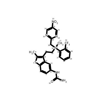 Cc1sc2ccc(NC(N)=O)cc2c1CC[N+](C)(Cc1ncc([N+](=O)[O-])cn1)c1ccccc1C(F)(F)F